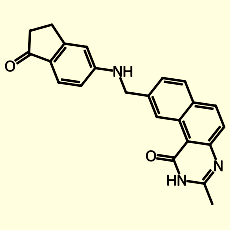 Cc1nc2ccc3ccc(CNc4ccc5c(c4)CCC5=O)cc3c2c(=O)[nH]1